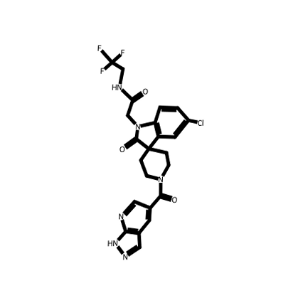 O=C(CN1C(=O)C2(CCN(C(=O)c3cnc4[nH]ncc4c3)CC2)c2cc(Cl)ccc21)NCC(F)(F)F